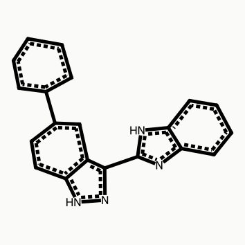 c1ccc(-c2ccc3[nH]nc(-c4nc5ccccc5[nH]4)c3c2)cc1